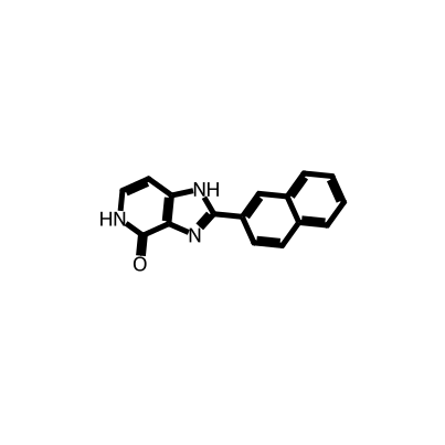 O=c1[nH]ccc2[nH]c(-c3ccc4ccccc4c3)nc12